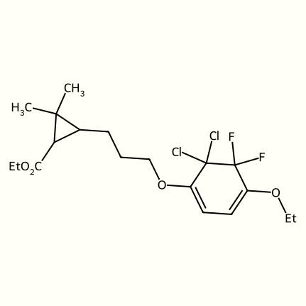 CCOC(=O)C1C(CCCOC2=CC=C(OCC)C(F)(F)C2(Cl)Cl)C1(C)C